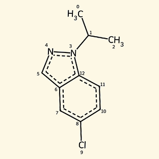 CC(C)n1ncc2cc(Cl)ccc21